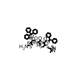 Cc1nnsc1CSC1=C(C(=O)OC(c2ccccc2)c2ccccc2)N2C(=O)[C@@H](NC(=O)/C(=N\OC(c3ccccc3)(c3ccccc3)c3ccccc3)c3csc(N)n3)[C@H]2SC1